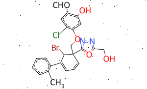 Cc1ccccc1C1=CC=CC(COc2cc(O)c(C=O)cc2Cl)(c2nnc(CO)o2)C1Br